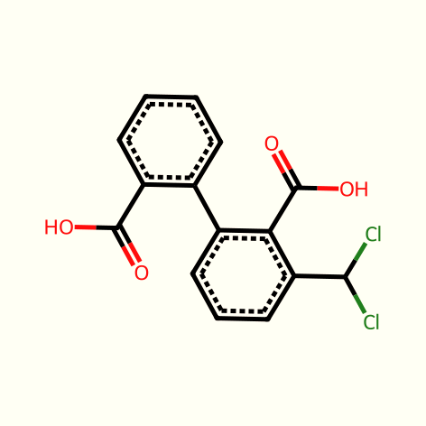 O=C(O)c1ccccc1-c1cccc(C(Cl)Cl)c1C(=O)O